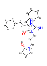 N=C1N[C@](CCC2CCCCC2)(CC2CCCCC2)C(=O)N1CCCN1CCCC1=O